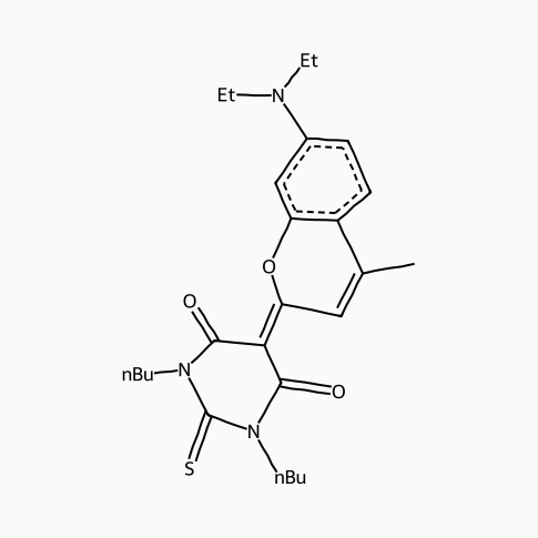 CCCCN1C(=O)C(=C2C=C(C)c3ccc(N(CC)CC)cc3O2)C(=O)N(CCCC)C1=S